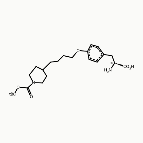 CC(C)(C)OC(=O)N1CCC(CCCCOc2ccc(C[C@H](N)C(=O)O)cc2)CC1